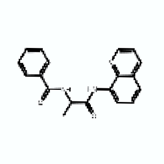 CC(NC(=O)c1ccccc1)C(=O)Nc1cccc2cccnc12